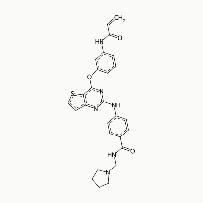 C=CC(=O)Nc1cccc(Oc2nc(Nc3ccc(C(=O)NCN4CCCC4)cc3)nc3ccsc23)c1